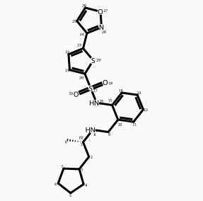 C[C@@H](CC1CCCC1)NCc1ccccc1NS(=O)(=O)c1ccc(-c2ccon2)s1